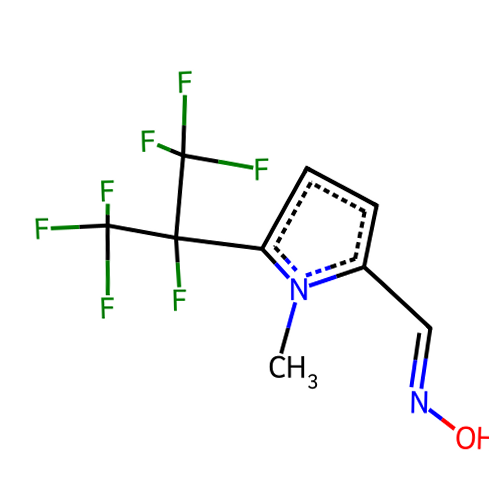 Cn1c(C=NO)ccc1C(F)(C(F)(F)F)C(F)(F)F